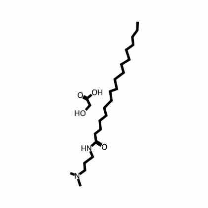 CCCCCCCCCCCCCCCCCC(=O)NCCCN(C)C.O=C(O)CO